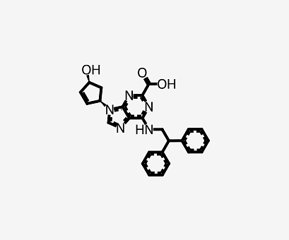 O=C(O)c1nc(NCC(c2ccccc2)c2ccccc2)c2ncn([C@H]3C=C[C@@H](O)C3)c2n1